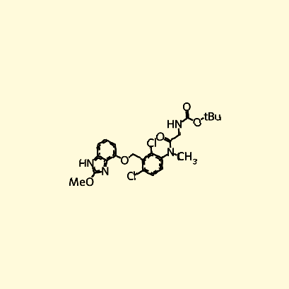 COc1nc2c(OCc3c(Cl)ccc(N(C)C(=O)CNC(=O)OC(C)(C)C)c3Cl)cccc2[nH]1